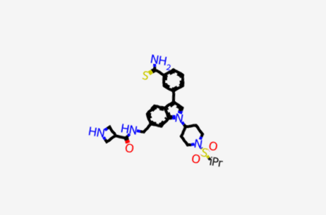 CC(C)S(=O)(=O)N1CCC(n2cc(-c3cccc(C(N)=S)c3)c3ccc(CNC(=O)C4CNC4)cc32)CC1